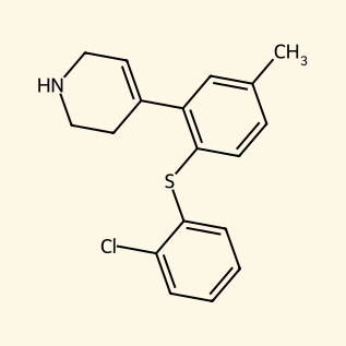 Cc1ccc(Sc2ccccc2Cl)c(C2=CCNCC2)c1